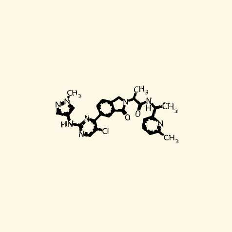 Cc1cccc(C(C)NC(=O)C(C)N2Cc3ccc(-c4nc(Nc5cnn(C)c5)ncc4Cl)cc3C2=O)n1